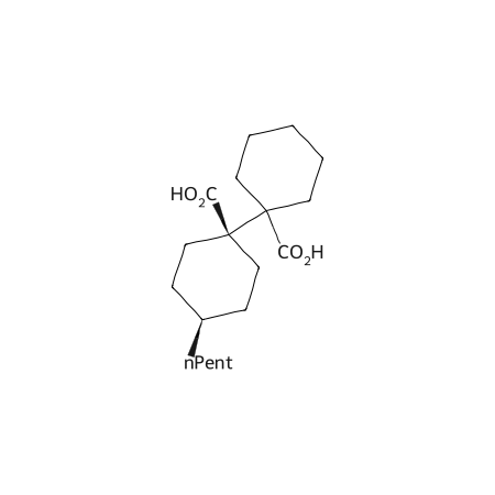 CCCCC[C@H]1CC[C@](C(=O)O)(C2(C(=O)O)CCCCC2)CC1